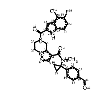 CN(C(=O)c1cnn2c1CN(C(=O)c1cc3c(Cl)c(F)ccc3[nH]1)CC2)C1(c2ccc(C=O)cc2)CC1